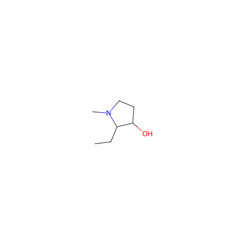 CCC1C(O)CCN1C